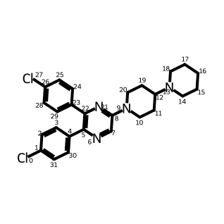 Clc1ccc(-c2ncc(N3CCC(N4CCCCC4)CC3)nc2-c2ccc(Cl)cc2)cc1